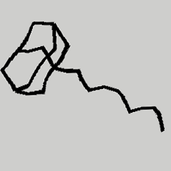 CCCCCCC12CC3CC(CC(C3)C1)C2